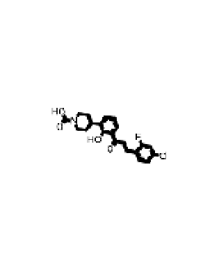 O=C(C=Cc1ccc(Cl)cc1F)c1cccc(C2CCN(C(=O)O)CC2)c1O